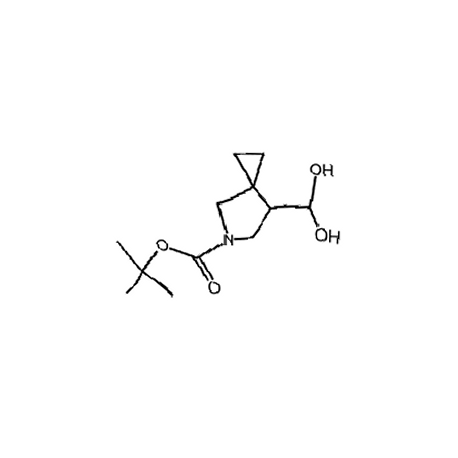 CC(C)(C)OC(=O)N1CC(C(O)O)C2(CC2)C1